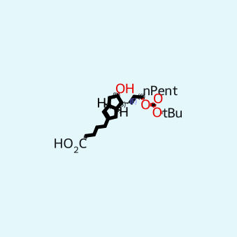 CCCCC[C@@H](/C=C/[C@@H]1[C@H]2CC(CCCCC(=O)O)=C[C@H]2C[C@H]1O)OC(=O)OC(C)(C)C